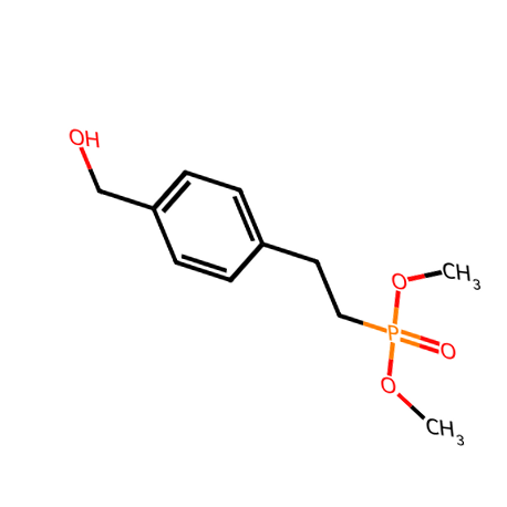 COP(=O)(CCc1ccc(CO)cc1)OC